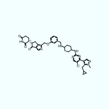 Cn1ncc(-c2nc(NC3CCC(NCc4cccc(OCc5scc6c5CN([C@H]5CCC(=O)NC5=O)C6=O)c4)CC3)ncc2Cl)c1CC1CC1